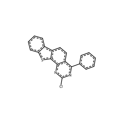 Clc1nc(-c2ccccc2)c2ccc3c4ccccc4sc3c2n1